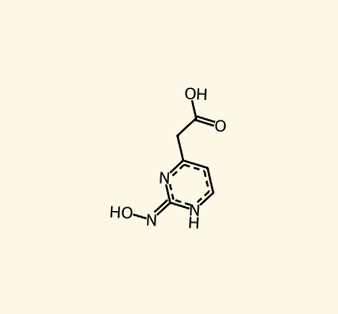 O=C(O)Cc1cc[nH]c(=NO)n1